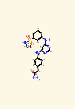 CNS(=O)(=O)c1cccc(Nc2cc(Nc3ccc(CC(N)=O)cc3)ncn2)c1